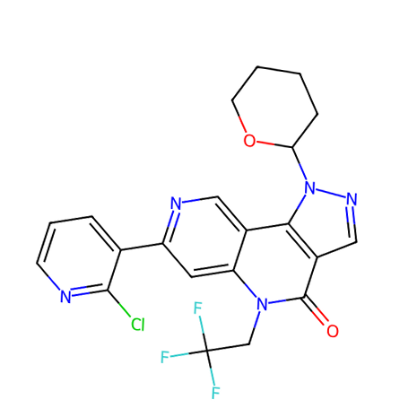 O=c1c2cnn(C3CCCCO3)c2c2cnc(-c3cccnc3Cl)cc2n1CC(F)(F)F